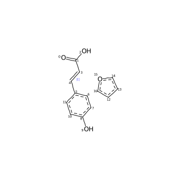 O=C(O)/C=C/c1ccc(O)cc1.c1ccoc1